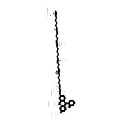 CC(=O)NCCCCCNC(=O)CCC(=O)NCCCCCNC(=O)CCC(=O)N(O)CCCCCNC(=S)Nc1ccc(-c2c3ccc(=O)cc-3oc3cc(O)ccc23)c(C(=O)O)c1